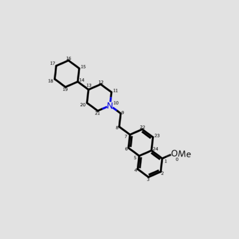 COc1cccc2cc(CCN3CCC(C4CCCCC4)CC3)ccc12